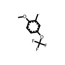 [CH2]c1cc(OC(F)(F)F)ccc1OC